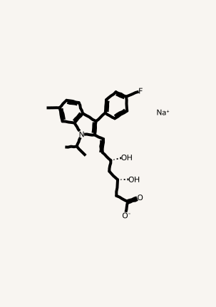 Cc1ccc2c(-c3ccc(F)cc3)c(/C=C/[C@H](O)C[C@H](O)CC(=O)[O-])n(C(C)C)c2c1.[Na+]